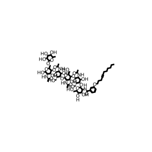 CCCCCCC#CCCCOc1cccc(C(=O)N[C@@H]2C(O[C@H]3C(O)C(NC(C)=O)[C@H](OC4C(CO)O[C@@H](O[C@H]5C(O)C(NC(C)=O)C(OC6C(CO[C@@H]7OC(C)C(O)[C@H](O)[C@H]7O)OC(O)[C@@H](NC(C)=O)[C@H]6O)O[C@H]5CO)[C@@H](NC(C)=O)[C@H]4O)O[C@H]3CO)OC(CO)[C@@H](O)[C@@H]2O)c1